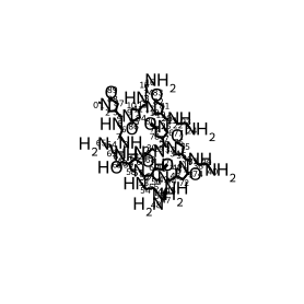 CN1CC(C(NCCN)N2CC(C(NCCN)N3CC(C(NCCN)N4CC(C(NCCN)N5CC(C(NCCN)N6CC(C(NCCN)N7CC(C(NCCN)N8CC(C(O)NCCN)CC8=O)CC7=O)CC6=O)CC5=O)CC4=O)CC3=O)CC2=O)CC1=O